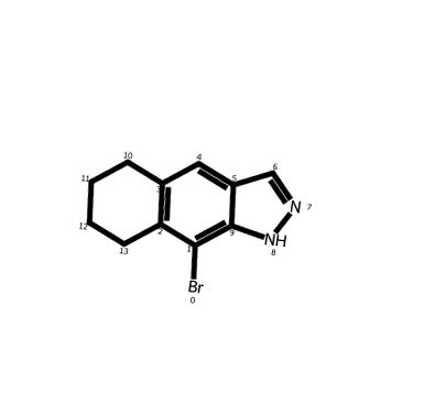 Brc1c2c(cc3cn[nH]c13)CCCC2